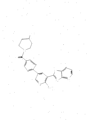 Nc1ncc(-c2ccc(C(=O)N3CCC(O)CC3)cc2)cc1-c1nc2ncccc2o1